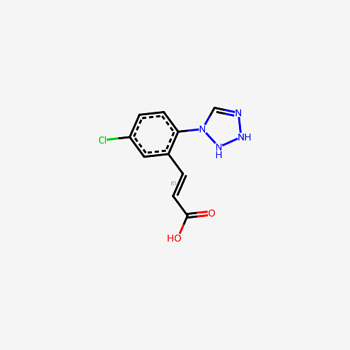 O=C(O)/C=C/c1cc(Cl)ccc1N1C=NNN1